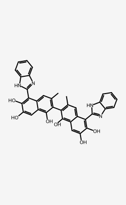 Cc1cc2c(-c3nc4ccccc4[nH]3)c(O)c(O)cc2c(O)c1-c1c(C)cc2c(-c3nc4ccccc4[nH]3)c(O)c(O)cc2c1O